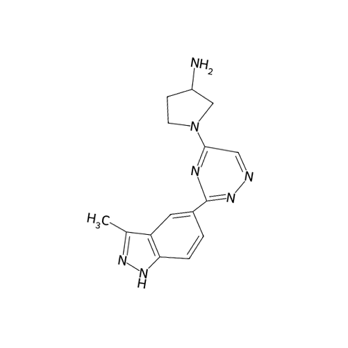 Cc1n[nH]c2ccc(-c3nncc(N4CCC(N)C4)n3)cc12